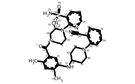 Cc1cc(C)c(C(=O)N2CCN(c3ncccc3S(N)(=O)=O)[C@H](C)C2)cc1NC1CCN(c2ccccc2C#N)CC1